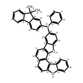 CC1(C)c2ccccc2-c2ccc(N(c3ccccc3)c3ccc4oc5c(ccc6ccc7oc8ccccc8c7c65)c4c3)cc21